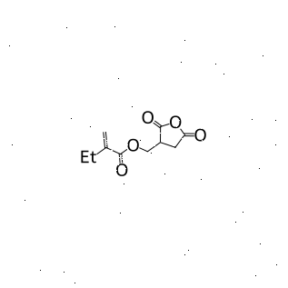 C=C(CC)C(=O)OCC1CC(=O)OC1=O